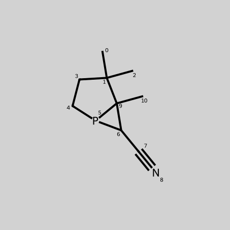 CC1(C)CCP2C(C#N)C21C